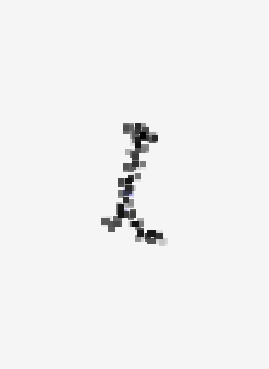 CCCCC/C(C)=C\C/C=C/CCCCCCCC(C)=O